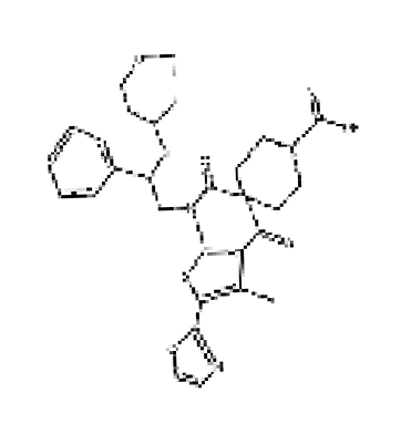 Cc1c(-c2ncco2)sc2c1C(=O)C1(CCC(C(=O)O)CC1)C(=O)N2CC(OC1CCOCC1)c1ccccc1